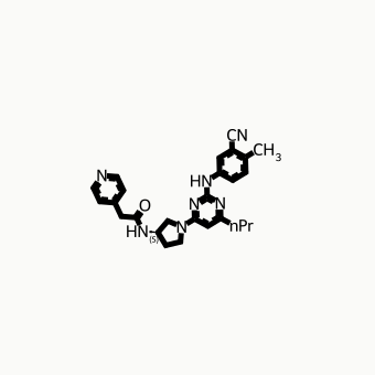 CCCc1cc(N2CC[C@H](NC(=O)Cc3ccncc3)C2)nc(Nc2ccc(C)c(C#N)c2)n1